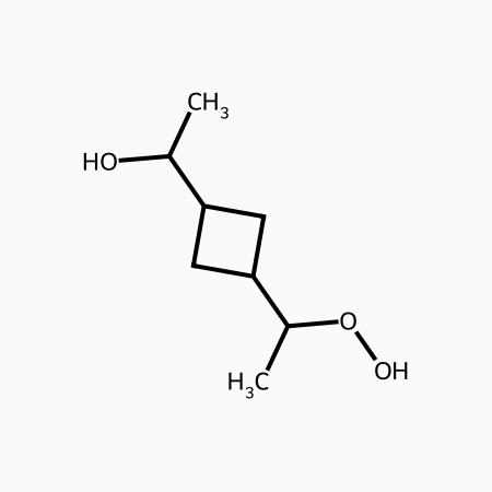 CC(O)C1CC(C(C)OO)C1